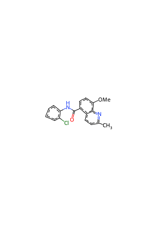 COc1ccc(C(=O)Nc2ccccc2Cl)c2ccc(C)nc12